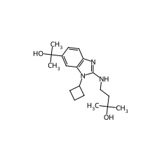 CC(C)(O)CCNc1nc2ccc(C(C)(C)O)cc2n1C1CCC1